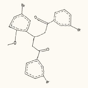 COc1ccc(Br)cc1C(CC(=O)c1cccc(Br)c1)CC(=O)c1cccc(Br)c1